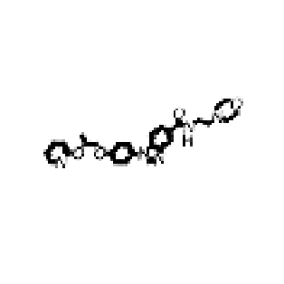 CC(COc1ccc(-n2cnc3cc(C(=O)NCCN4CCOCC4)ccc32)cc1)Oc1ccccn1